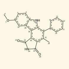 COc1ccc2[nH]c3c(-c4ccccc4)c(C)c4c(c3c2c1)C(=O)NC4=O